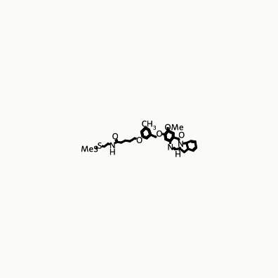 COc1cc2c(cc1OCc1cc(C)cc(OCCCCC(=O)NCCSSC)c1)N=C[C@@H]1CC3C=CC=CC3N1C2=O